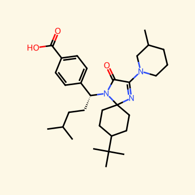 CC(C)CC[C@H](c1ccc(C(=O)O)cc1)N1C(=O)C(N2CCCC(C)C2)=NC12CCC(C(C)(C)C)CC2